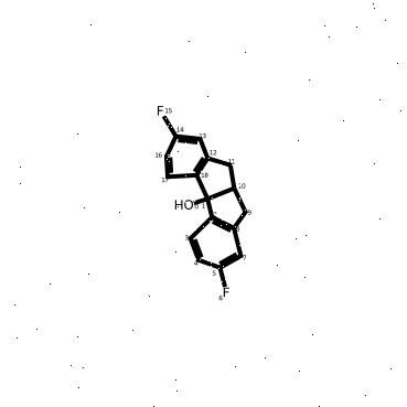 OC12c3ccc(F)cc3CC1Cc1cc(F)ccc12